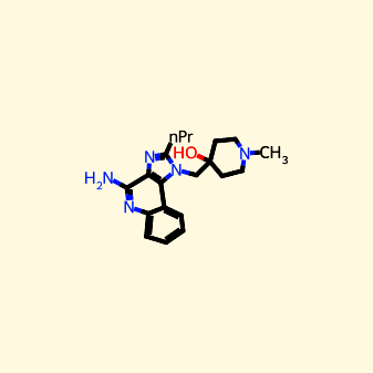 CCCc1nc2c(N)nc3ccccc3c2n1CC1(O)CCN(C)CC1